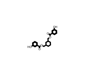 O=C(OCC1CCCC(COC(=O)c2cccc(O)c2)C1)c1cccc(O)c1